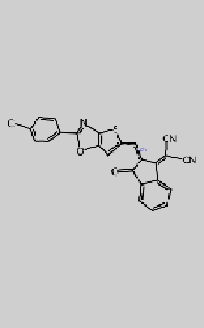 N#CC(C#N)=C1/C(=C/c2cc3oc(-c4ccc(Cl)cc4)nc3s2)C(=O)c2ccccc21